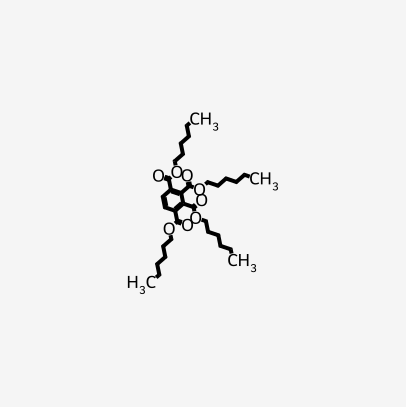 CCCCCCOC(=O)c1ccc(C(=O)OCCCCCC)c(C(=O)OCCCCCC)c1C(=O)OCCCCCC